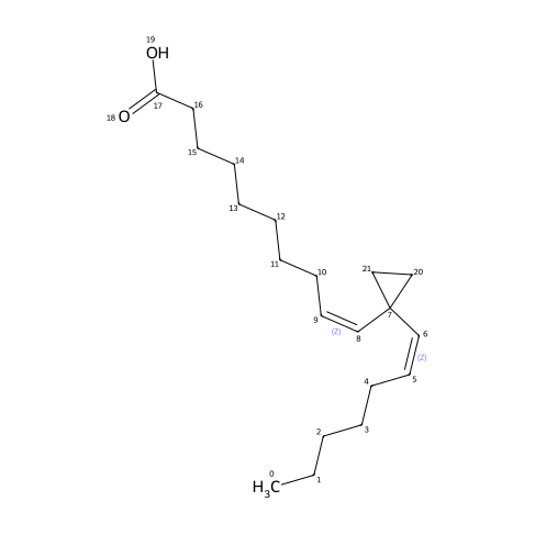 CCCCC/C=C\C1(/C=C\CCCCCCCC(=O)O)CC1